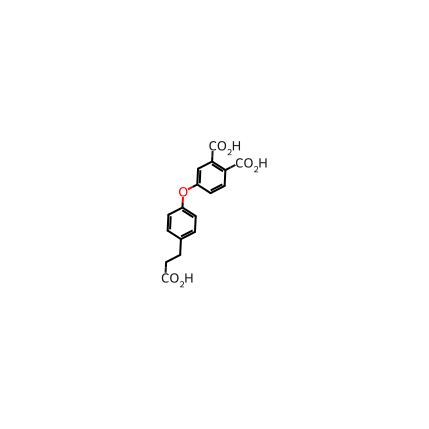 O=C(O)CCc1ccc(Oc2ccc(C(=O)O)c(C(=O)O)c2)cc1